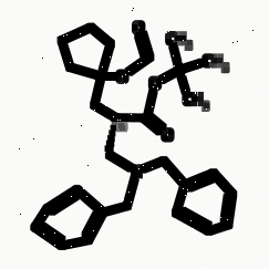 CC(C)(C)OC(=O)[C@H](CN(Cc1ccccc1)Cc1ccccc1)CC1(OC=O)CCCC1